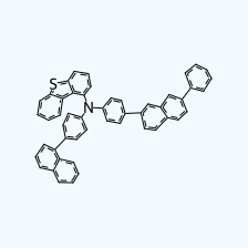 c1ccc(-c2ccc3ccc(-c4ccc(N(c5ccc(-c6cccc7ccccc67)cc5)c5cccc6sc7ccccc7c56)cc4)cc3c2)cc1